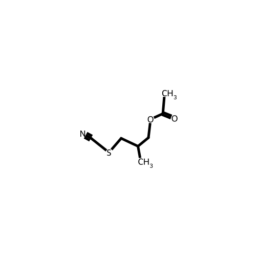 CC(=O)OCC(C)CSC#N